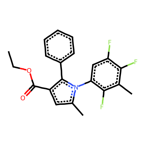 CCOC(=O)c1cc(C)n(-c2cc(F)c(F)c(C)c2F)c1-c1ccccc1